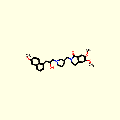 COc1ccc2c(CC(O)CN3CCCC(CN4CCc5cc(OC)c(OC)cc5C4=O)C3)cccc2c1